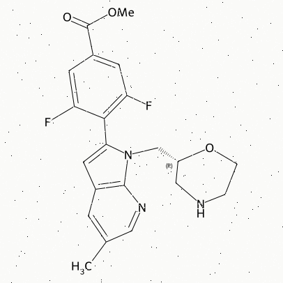 COC(=O)c1cc(F)c(-c2cc3cc(C)cnc3n2C[C@H]2CNCCO2)c(F)c1